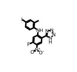 Cc1cc(I)ccc1Nc1cc(F)c([N+](=O)[O-])cc1-c1nnn[nH]1